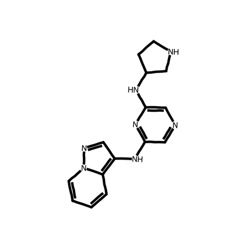 c1ccn2ncc(Nc3cncc(NC4CCNC4)n3)c2c1